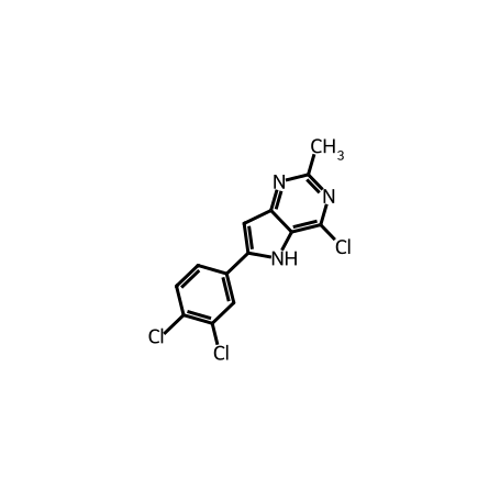 Cc1nc(Cl)c2[nH]c(-c3ccc(Cl)c(Cl)c3)cc2n1